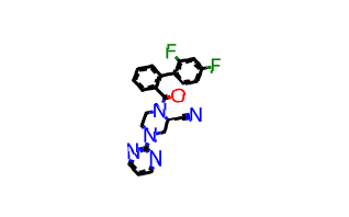 N#CC1CN(c2ncccn2)CCN1C(=O)c1ccccc1-c1ccc(F)cc1F